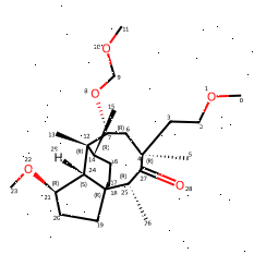 COCC[C@]1(C)C[C@@H](OCOC)[C@]2(C)[C@H](C)CC[C@]3(CC[C@@H](OC)[C@@H]32)[C@@H](C)C1=O